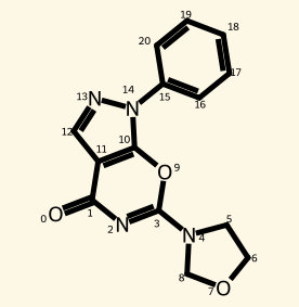 O=c1nc(N2CCOC2)oc2c1cnn2-c1ccccc1